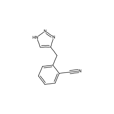 N#Cc1ccccc1Cc1c[nH]nn1